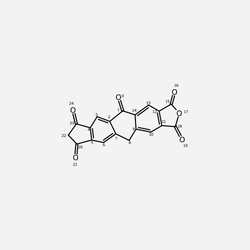 O=C1c2cc3c(cc2Cc2cc4c(cc21)C(=O)OC4=O)C(=O)CC3=O